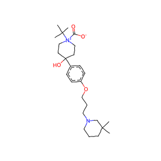 CC1(C)CCCN(CCCOc2ccc(C3(O)CC[N+](C(=O)[O-])(C(C)(C)C)CC3)cc2)C1